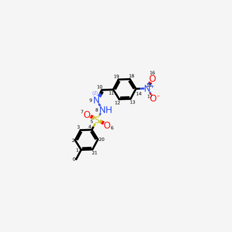 Cc1ccc(S(=O)(=O)N/N=C\c2ccc([N+](=O)[O-])cc2)cc1